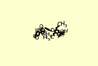 CCCc1cc(C(O)(C(F)(F)F)C(F)(F)F)cc(CCC)c1OCC#CCN1C(=O)NC(CC)(c2ccc3c(c2)OCO3)C1=O